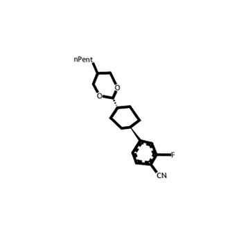 CCCCCC1COC([C@H]2CC[C@H](c3ccc(C#N)c(F)c3)CC2)OC1